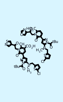 CN(Cc1ccc(Cl)s1)c1cc(-c2ccc(C(=O)O)n(CC(=O)c3cocn3)c2=O)nn1C(=O)C(C)(C)C.Cc1c(C(=O)O)cc(-c2cc(N(C)Cc3ccc(Cl)s3)n(C(=O)C(C)(C)C)n2)c(=O)n1CC(=O)c1cnsc1